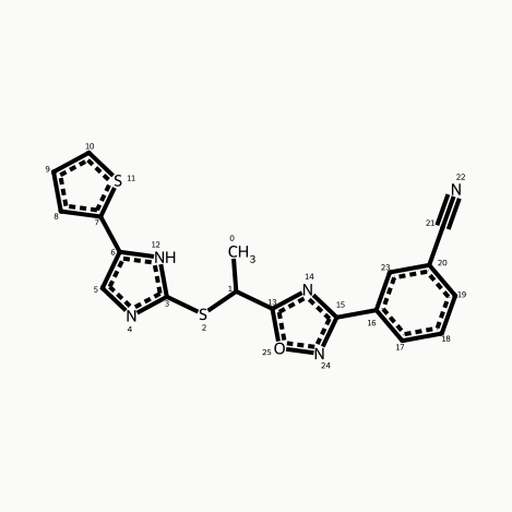 CC(Sc1ncc(-c2cccs2)[nH]1)c1nc(-c2cccc(C#N)c2)no1